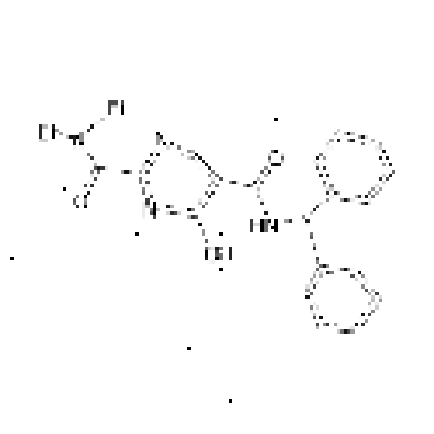 CCN(CC)C(=O)c1ncc(C(=O)NC(c2ccccc2)c2ccccc2)c(O)n1